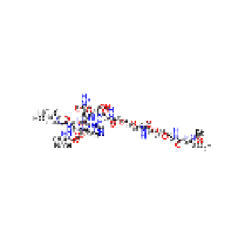 CCCCC(NC(=O)C(CNC(=O)CN(CC(=O)O)CC(=O)O)NC(=O)C(Cc1c[nH]cn1)NC(=O)C(CCC(N)=O)NC(=O)C(CO)NC(=O)CNC(=O)COCCOCCNC(=O)COCCOCCNC(=O)CCC(NC(=O)CC)C(=O)O)C(=O)NC